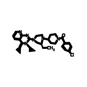 CC[C@H]1CN(C2=Nc3ncccc3C(=C3CC3)N2C2CC2)CCN1C1CCN(C(=O)c2ccc(Cl)cc2)CC1